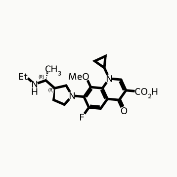 CCN[C@H](C)[C@@H]1CCN(c2c(F)cc3c(=O)c(C(=O)O)cn(C4CC4)c3c2OC)C1